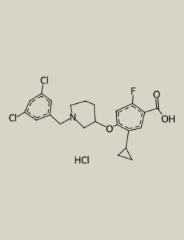 Cl.O=C(O)c1cc(C2CC2)c(OC2CCCN(Cc3cc(Cl)cc(Cl)c3)C2)cc1F